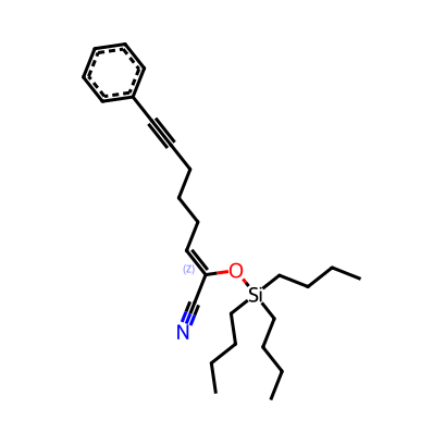 CCCC[Si](CCCC)(CCCC)O/C(C#N)=C\CCCC#Cc1ccccc1